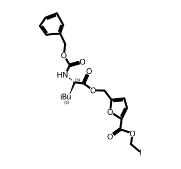 CC[C@H](C)[C@H](NC(=O)OCc1ccccc1)C(=O)OCc1ccc(C(=O)OCI)o1